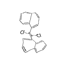 ClS(Cl)(c1cccc2ccccc12)c1cccc2ccccc12